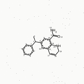 CC(c1ccccc1)c1cc(C(N)=O)c2c(n1)C=CCN2